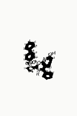 O=C(NC(c1ccccc1)c1ccc(O)nc1)C1SCCN1S(=O)(=O)c1ccc(-c2ccccc2)cc1